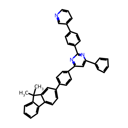 CC1(C)c2ccccc2-c2ccc(-c3ccc(-c4cc(-c5ccccc5)nc(-c5ccc(-c6cccnc6)cc5)n4)cc3)cc21